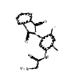 COCC(=O)Nc1cc(N2C(=O)c3ccccc3C2=O)c(Cl)cc1F